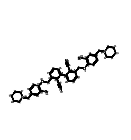 N#Cc1c(COc2ccc(CN3CCCCC3)cc2Br)cccc1-c1cccc(COc2ccc(CN3CCCCC3)cc2Br)c1C#N